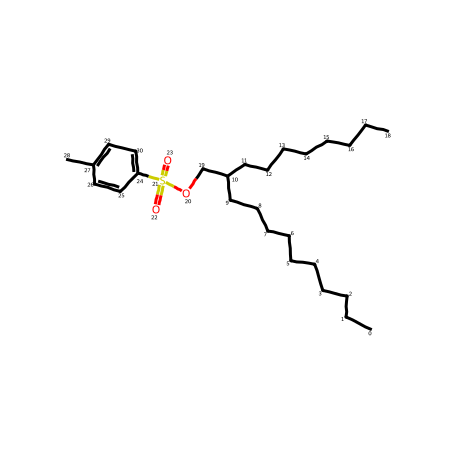 CCCCCCCCCCC(CCCCCCCC)COS(=O)(=O)c1ccc(C)cc1